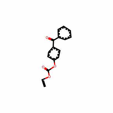 C=COC(=O)Oc1ccc(C(=O)c2ccccc2)cc1